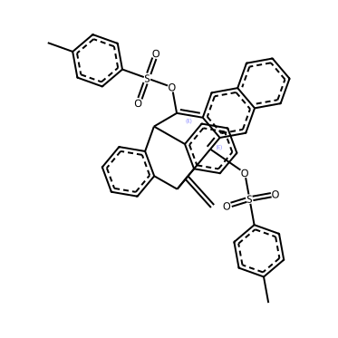 C=C1/C(OS(=O)(=O)c2ccc(C)cc2)=c2/cc3ccccc3c/c2=C(\OS(=O)(=O)c2ccc(C)cc2)C2c3ccccc3C1c1ccccc12